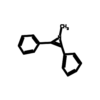 CN1C(c2ccccc2)=C1c1ccccc1